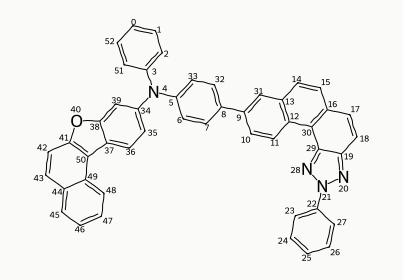 c1ccc(N(c2ccc(-c3ccc4c(ccc5ccc6nn(-c7ccccc7)nc6c54)c3)cc2)c2ccc3c(c2)oc2ccc4ccccc4c23)cc1